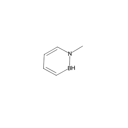 CN1BC=CC=C1